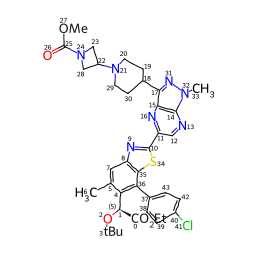 CCOC(=O)[C@@H](OC(C)(C)C)c1c(C)cc2nc(-c3cnc4c(n3)c(C3CCN(C5CN(C(=O)OC)C5)CC3)nn4C)sc2c1-c1ccc(Cl)cc1